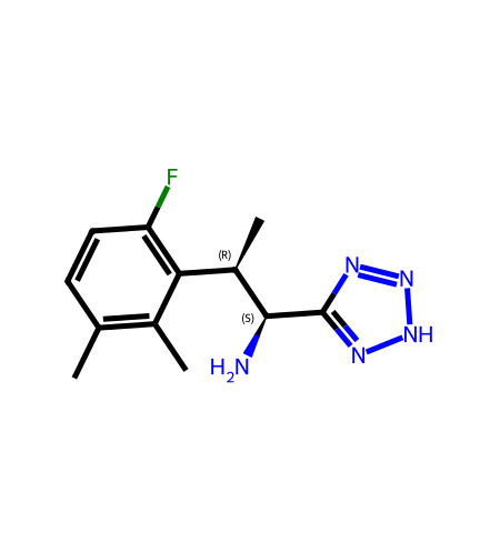 Cc1ccc(F)c([C@@H](C)[C@H](N)c2nn[nH]n2)c1C